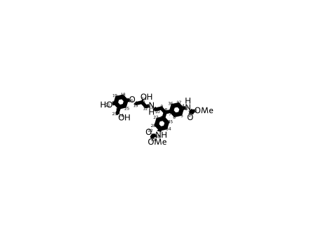 COC(=O)Nc1ccc(C(CCNC[C@H](O)COc2ccc(O)c(CO)c2)c2ccc(NC(=O)OC)cc2)cc1